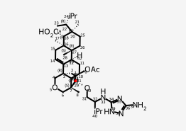 CC(=O)O[C@@H]1C[C@@]23COC[C@](C)([C@@H]2CC[C@H]2C3=CC[C@@]3(C)[C@H](C(=O)O)[C@@](C)([C@H](C)C(C)C)CC[C@]23C)[C@H]1OCC(Nc1nc(N)n[nH]1)C(C)C